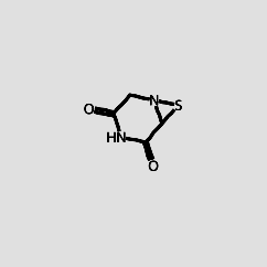 O=C1CN2SC2C(=O)N1